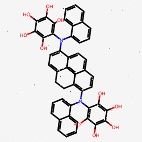 Oc1c(O)c(O)c(N(c2ccc3ccc4c(N(c5c(O)c(O)c(O)c(O)c5O)c5cccc6ccccc56)ccc5c4c3c2CC5)c2cccc3ccccc23)c(O)c1O